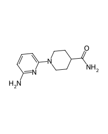 NC(=O)C1CCN(c2cccc(N)n2)CC1